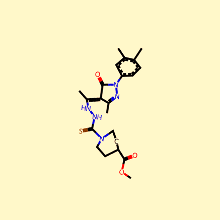 COC(=O)C1CCN(C(=S)NNC(C)=C2C(=O)N(c3ccc(C)c(C)c3)N=C2C)CC1